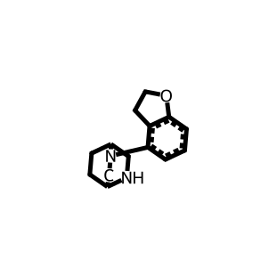 c1cc2c(c(N3CC4CCC3CN4)c1)CCO2